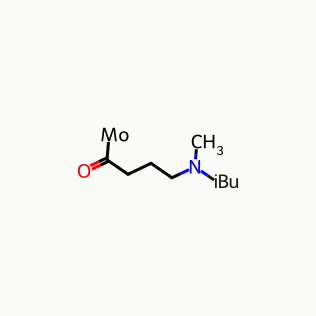 CCC(C)N(C)CCC[C](=O)[Mo]